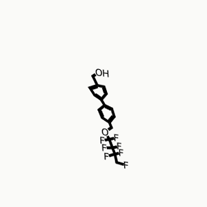 OCc1ccc(-c2ccc(COC(F)(F)C(F)(F)C(F)(F)CF)cc2)cc1